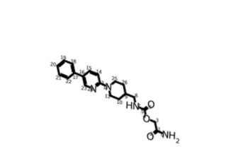 NC(=O)COC(=O)NCC1CCN(c2ccc(-c3ccccc3)cn2)CC1